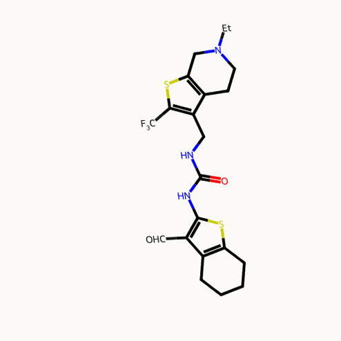 CCN1CCc2c(sc(C(F)(F)F)c2CNC(=O)Nc2sc3c(c2C=O)CCCC3)C1